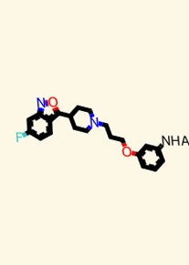 CC(=O)Nc1cccc(OCCCN2CCC(c3onc4cc(F)ccc34)CC2)c1